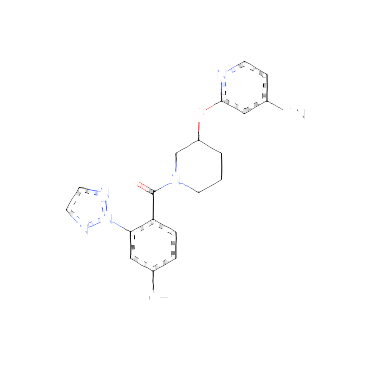 Cc1ccc(C(=O)N2CCCC(Oc3cc(C#N)ccn3)C2)c(-n2nccn2)c1